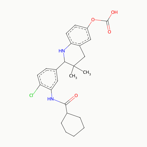 CC1(C)Cc2cc(OC(=O)O)ccc2NC1c1ccc(Cl)c(NC(=O)C2CCCCC2)c1